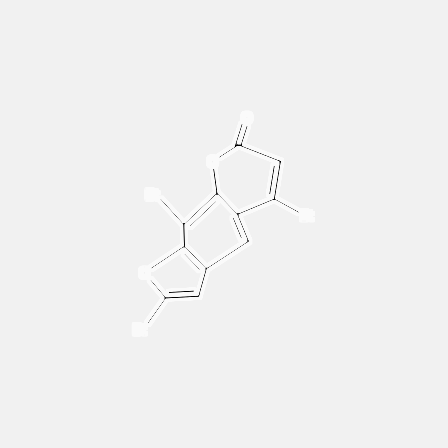 CCc1cc2cc3c(CC)cc(=O)oc3c(CC)c2o1